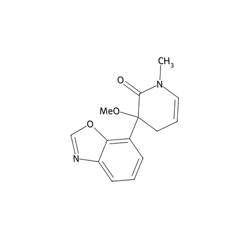 COC1(c2cccc3ncoc23)CC=CN(C)C1=O